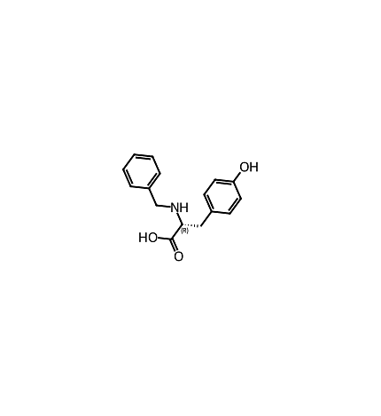 O=C(O)[C@@H](Cc1ccc(O)cc1)NCc1ccccc1